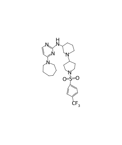 O=S(=O)(c1ccc(C(F)(F)F)cc1)N1CCC(N2CCCC(Nc3nccc(N4CCCCCC4)n3)C2)CC1